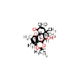 C=C1C(=O)[C@@]23[C@@H]4OC(C)(C)OC25OC[C@]2(C(=O)C(C=O)=CC(C)(C)[C@H]2[C@@H]5O)[C@@H]3CC[C@@H]14